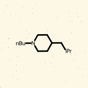 CCCCN1CCC(CC(C)C)CC1